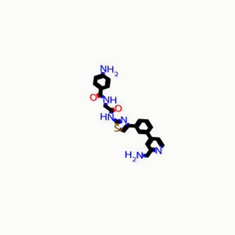 NCc1cc(-c2cccc(-c3csc(NC(=O)CNC(=O)c4ccc(N)cc4)n3)c2)ccn1